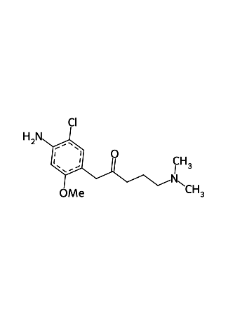 COc1cc(N)c(Cl)cc1CC(=O)CCCN(C)C